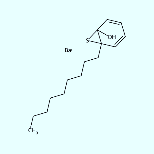 CCCCCCCCCC12C=CC=CC1(O)S2.[Ba]